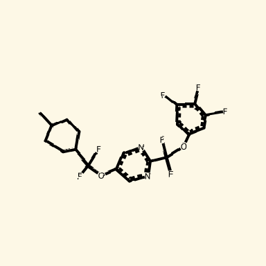 CC1CCC(C(F)(F)Oc2cnc(C(F)(F)Oc3cc(F)c(F)c(F)c3)nc2)CC1